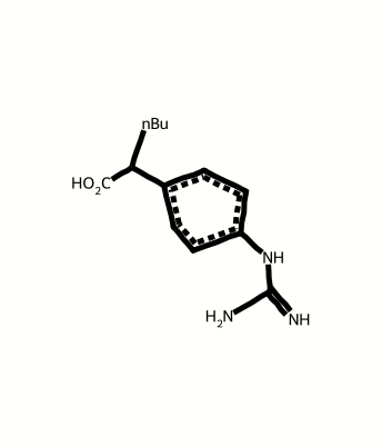 CCCCC(C(=O)O)c1ccc(NC(=N)N)cc1